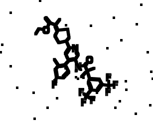 C=C(OCC)C(C)=C1CCC(c2cc(-c3ccc(F)cc3C)c(N(C)C(=O)C(C)(C)c3cc(C(F)(F)F)cc(C(F)(F)F)c3)cn2)CC1